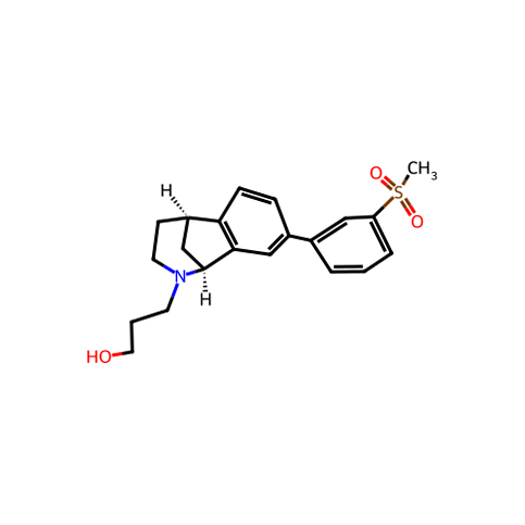 CS(=O)(=O)c1cccc(-c2ccc3c(c2)[C@@H]2C[C@H]3CCN2CCCO)c1